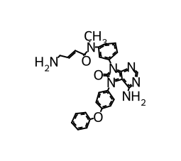 CN(C(=O)C=CCN)c1cccc(-n2c(=O)n(-c3ccc(Oc4ccccc4)cc3)c3c(N)ncnc32)c1